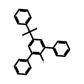 CC(C)(c1ccccc1)c1cc(-c2ccccc2)c(I)c(-c2ccccc2)c1